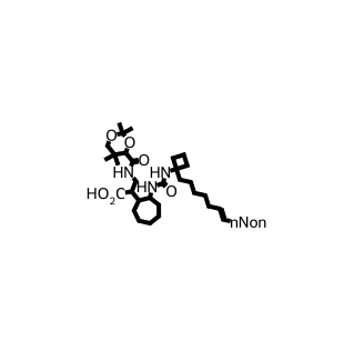 CCCCCCCCCC=CCCCCCC1(NC(=O)NC2CCCCCC2C(CNC(=O)C2OC(C)(C)OCC2(C)C)C(=O)O)CCC1